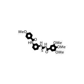 COc1ccc(C(=O)Nc2cccc(NC(=S)NC(=O)c3cc(OC)c(OC)c(OC)c3)c2)cc1